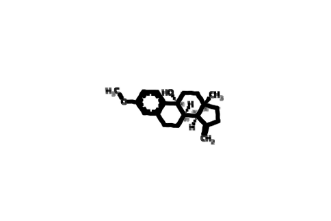 C=C1C[CH][C@@]2(C)C[CH][C@]3(O)c4ccc(OC)cc4CC[C@@H]3[C@H]12